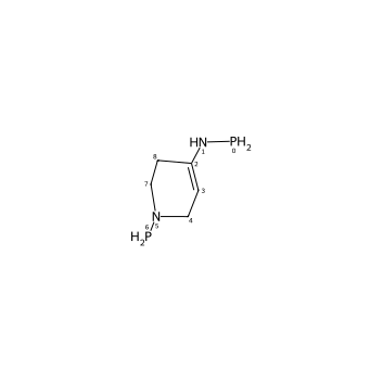 PNC1=CCN(P)CC1